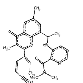 C#C/C=C\C(=C/C)c1oc2c(C(C)Nc3cccnc3C(=O)N(C)OC)cc(C)cc2c(=O)c1C